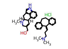 CN(C)CCC=C1c2ccccc2CCc2ccccc21.CN1CC(CO)=C[C@@H]2c3cccc4[nH]cc(c34)C[C@H]21.Cl